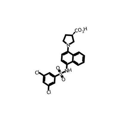 O=C(O)[C@@H]1CCN(c2ccc(NS(=O)(=O)c3cc(Cl)cc(Cl)c3)c3ccccc23)C1